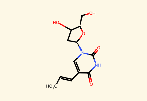 O=C(O)/C=C/c1cn([C@H]2CC(O)[C@@H](CO)O2)c(=O)[nH]c1=O